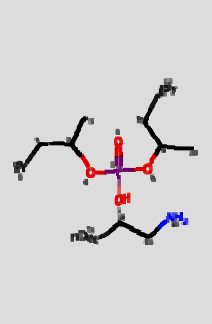 CC(C)CC(C)OP(=O)(O)OC(C)CC(C)C.CCCCCCCCCCCCN